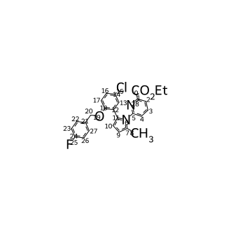 CCOC(=O)c1cccc(-n2c(C)ccc2-c2cc(Cl)ccc2OCc2ccc(F)cc2)n1